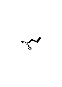 C=CC[Si](C#N)C#N